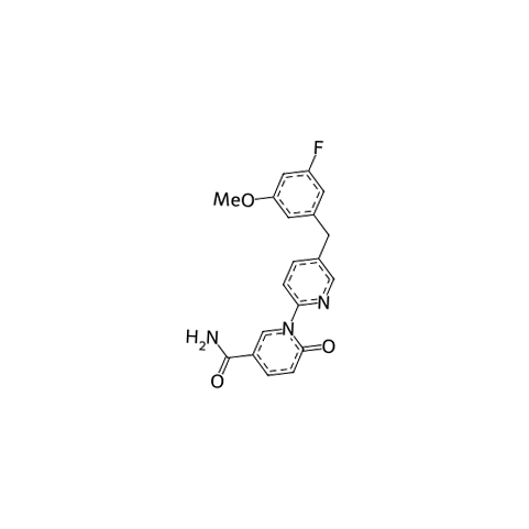 COc1cc(F)cc(Cc2ccc(-n3cc(C(N)=O)ccc3=O)nc2)c1